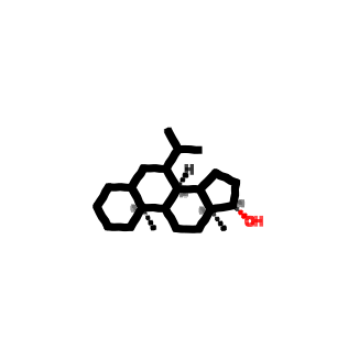 CC(C)C1CC2CCCC[C@]2(C)C2CC[C@@]3(C)C(CC[C@@H]3O)[C@H]12